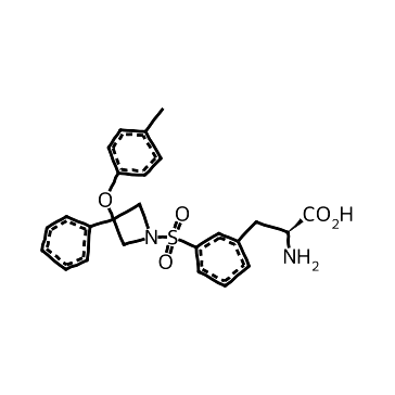 Cc1ccc(OC2(c3ccccc3)CN(S(=O)(=O)c3cccc(C[C@H](N)C(=O)O)c3)C2)cc1